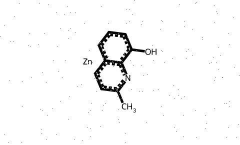 Cc1ccc2cccc(O)c2n1.[Zn]